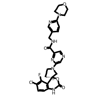 O=C1Nc2ccc(Cl)c(F)c2[C@]2(CCN(c3cncc(C(=O)NCc4ccc(N5CCOCC5)nc4)n3)C2)O1